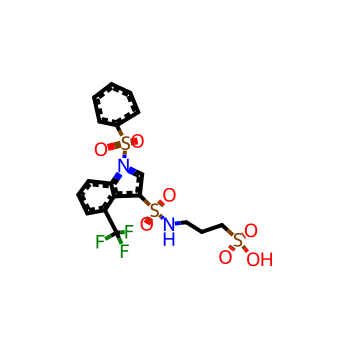 O=S(=O)(O)CCCNS(=O)(=O)c1cn(S(=O)(=O)c2ccccc2)c2cccc(C(F)(F)F)c12